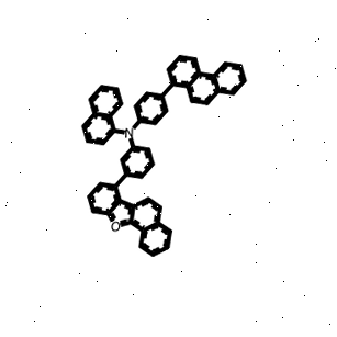 c1cc(-c2cccc3oc4c5ccccc5ccc4c23)cc(N(c2ccc(-c3cccc4c3ccc3ccccc34)cc2)c2cccc3ccccc23)c1